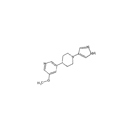 COc1cncc(C2CCN(c3cn[nH]c3)CC2)c1